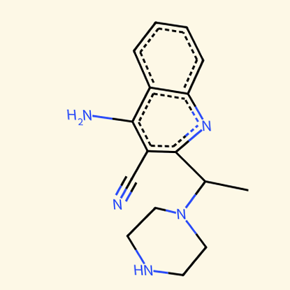 CC(c1nc2ccccc2c(N)c1C#N)N1CCNCC1